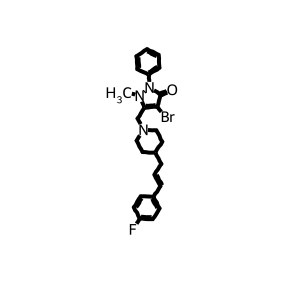 Cn1c(CN2CCC(C/C=C/c3ccc(F)cc3)CC2)c(Br)c(=O)n1-c1ccccc1